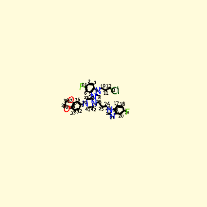 Fc1ccc2c(c1)ncn2CCCCl.Fc1ccc2c(c1)ncn2CCCN1CCN(c2ccc3c(c2)OCCO3)CC1